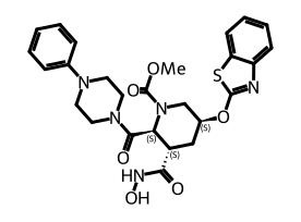 COC(=O)N1C[C@@H](Oc2nc3ccccc3s2)C[C@H](C(=O)NO)[C@H]1C(=O)N1CCN(c2ccccc2)CC1